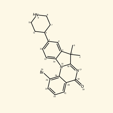 CC1(C)c2cc(C3CCNCC3)ccc2-n2c1nc(=O)c1cccc(Br)c12